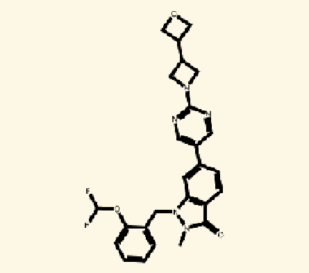 Cn1c(=O)c2ccc(-c3cnc(N4CC(C5COC5)C4)nc3)cc2n1Cc1ccccc1OC(F)F